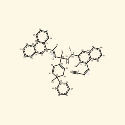 C#C/C=C\c1c(C)c([C@@H](C)NC(C)(/N=C(\C)c2cc3ccccc3c3ccccc23)C2=CCC(C)(c3ccccn3)C=C2)cc2ccccc12